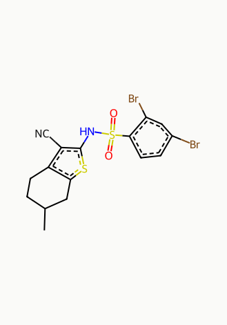 CC1CCc2c(sc(NS(=O)(=O)c3ccc(Br)cc3Br)c2C#N)C1